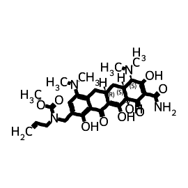 C=CCN(Cc1cc(N(C)C)c2c(c1O)C(=O)C1=C(O)[C@]3(O)C(=O)C(C(N)=O)=C(O)[C@@H](N(C)C)[C@@H]3C[C@@H]1C2)C(=O)OC